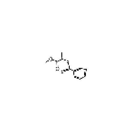 COC(=O)C(C)SC(=S)c1ccccc1